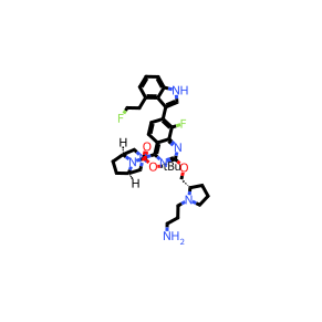 CC(C)(C)OC(=O)N1[C@@H]2CC[C@H]1CN(c1nc(OC[C@@H]3CCCN3CCCN)nc3c(F)c(-c4c[nH]c5cccc(CCF)c45)ccc13)C2